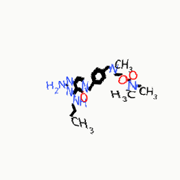 CCCCNc1nc(N)nc2ccn(Cc3ccc(CN(C)CCOC(=O)N(CC)CC)cc3)c(=O)c12